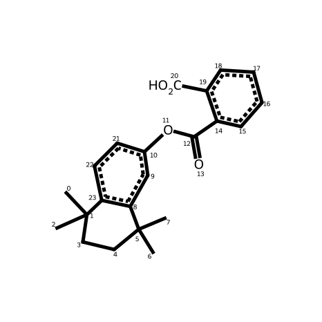 CC1(C)CCC(C)(C)c2cc(OC(=O)c3ccccc3C(=O)O)ccc21